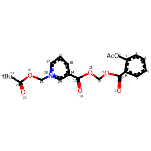 CC(=O)Oc1ccccc1C(=O)OCOC(=O)c1ccc[n+](COC(=O)C(C)(C)C)c1